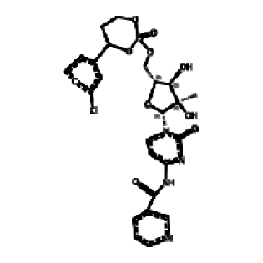 C[C@@]1(O)[C@H](O)[C@@H](COP2(=O)OCCC(c3cccc(Cl)c3)O2)O[C@H]1n1ccc(NC(=O)c2cccnc2)nc1=O